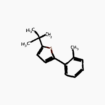 Cc1ccccc1-c1ccc(C(C)(C)C)s1